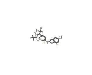 CN(C(=O)C(C)(C)C)C(c1ccc(NC2Cc3cc(Cl)cc(F)c3C2)cn1)C(F)(F)F